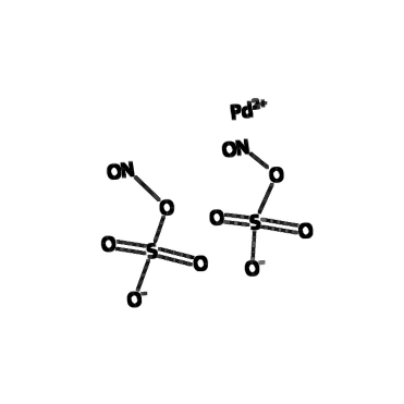 O=NOS(=O)(=O)[O-].O=NOS(=O)(=O)[O-].[Pd+2]